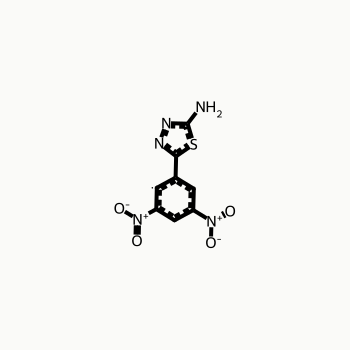 Nc1nnc(-c2[c]c([N+](=O)[O-])cc([N+](=O)[O-])c2)s1